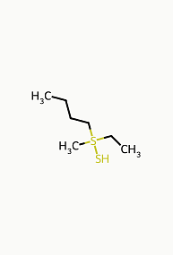 CCCCS(C)(S)CC